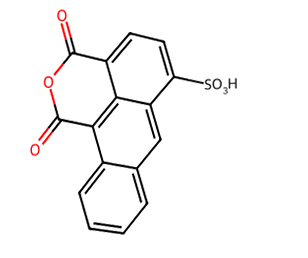 O=C1OC(=O)c2c3ccccc3cc3c(S(=O)(=O)O)ccc1c23